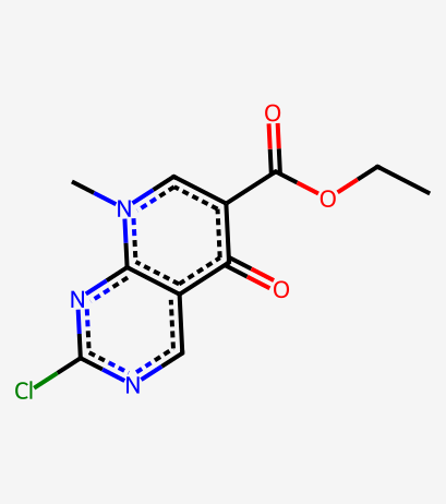 CCOC(=O)c1cn(C)c2nc(Cl)ncc2c1=O